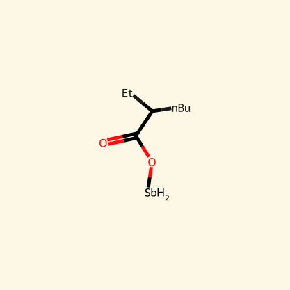 CCCCC(CC)C(=O)[O][SbH2]